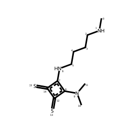 CNCCCCNc1c(N(C)C)c(=S)c1=S